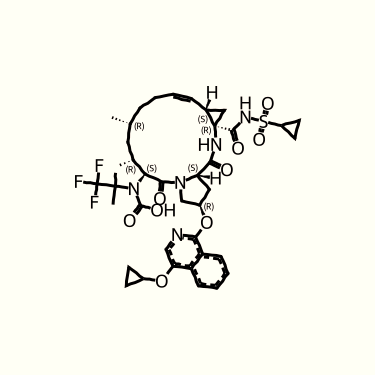 C[C@@H]1CCC=C[C@@H]2C[C@@]2(C(=O)NS(=O)(=O)C2CC2)NC(=O)[C@@H]2C[C@@H](Oc3ncc(OC4CC4)c4ccccc34)CN2C(=O)[C@@H](N(C(=O)O)C(C)(C)C(F)(F)F)[C@H](C)C1